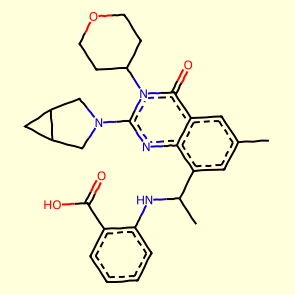 Cc1cc(C(C)Nc2ccccc2C(=O)O)c2nc(N3CC4CC4C3)n(C3CCOCC3)c(=O)c2c1